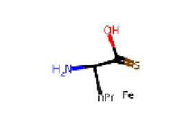 CCCC(N)C(O)=S.[Fe]